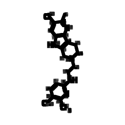 Cc1nc2c3c([nH]c2cc1Cl)CN(CCNc1ccc(Cl)c(C(F)(F)F)n1)CC3